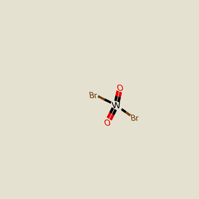 [O]=[W](=[O])([Br])[Br]